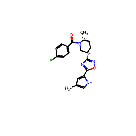 Cc1c[nH]c(-c2nc([C@H]3CC[C@@H](C)N(C(=O)c4ccc(F)cc4)C3)no2)c1